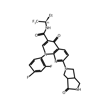 CC[C@@H](NC(=O)c1cn(-c2ccc(F)cc2F)c2nc(N3CC4CNC(=O)C4C3)ccc2c1=O)C(F)(F)F